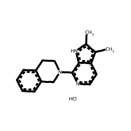 Cc1[nH]c2c(N3CCc4ccccc4C3)nccc2c1C.Cl